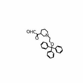 O=CC(=O)C1CCCN(CCOC(c2ccccc2)(c2ccccc2)c2ccccc2)C1